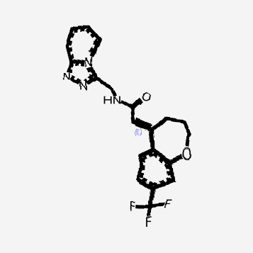 O=C(/C=C1\CCCOc2cc(C(F)(F)F)ccc21)NCc1nnc2ccccn12